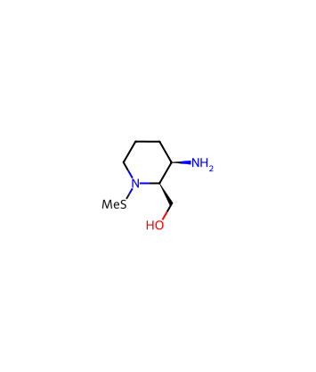 CSN1CCC[C@@H](N)[C@H]1CO